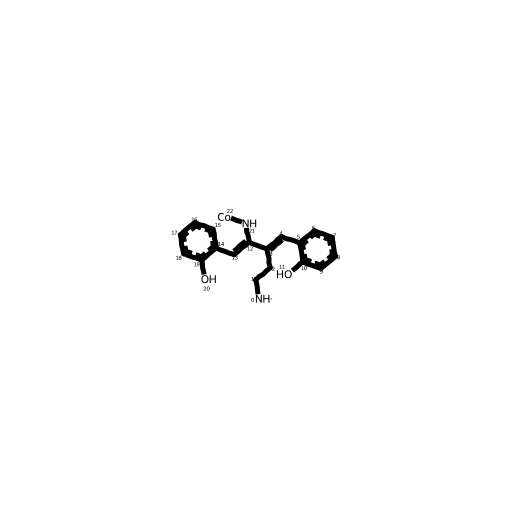 [NH]CCC(=Cc1ccccc1O)C(=Cc1ccccc1O)[NH][Co]